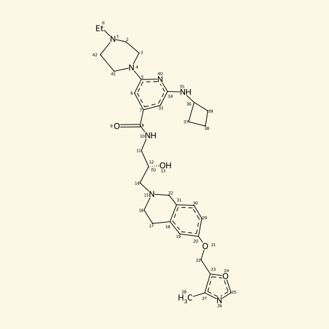 CCN1CCN(c2cc(C(=O)NC[C@H](O)CN3CCc4cc(OCc5ocnc5C)ccc4C3)cc(NC3CCC3)n2)CC1